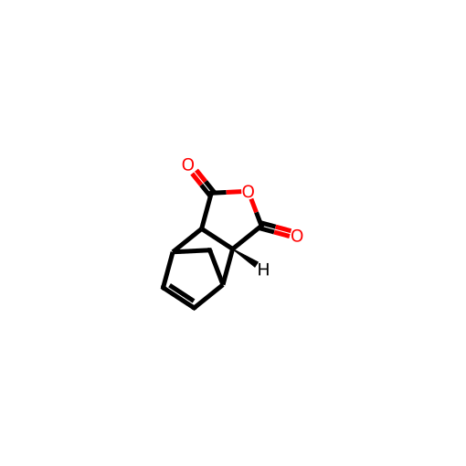 O=C1OC(=O)[C@@H]2C3C=CC(C3)C12